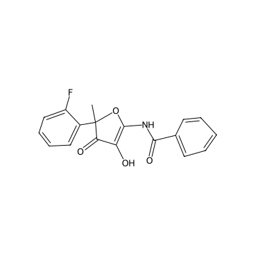 CC1(c2ccccc2F)OC(NC(=O)c2ccccc2)=C(O)C1=O